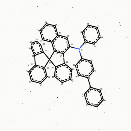 c1ccc(-c2ccc(N(c3ccccc3)c3cc4ccccc4c4c3-c3ccccc3C43c4ccccc4-c4ccccc43)cc2)cc1